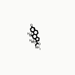 CC12CC(=O)C3C(CCC4=CC(=O)CC[C@]43C)C1CC[C@]2(O)C(=O)CN